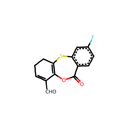 O=CC1=CCCC2=C1OC(=O)c1ccc(F)cc1S2